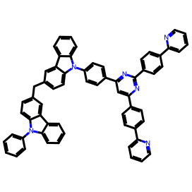 c1ccc(-n2c3ccccc3c3cc(Cc4ccc5c(c4)c4ccccc4n5-c4ccc(-c5cc(-c6ccc(-c7ccccn7)cc6)nc(-c6ccc(-c7ccccn7)cc6)n5)cc4)ccc32)cc1